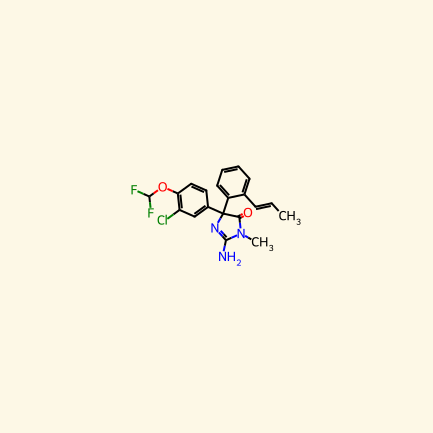 CC=Cc1ccccc1C1(c2ccc(OC(F)F)c(Cl)c2)N=C(N)N(C)C1=O